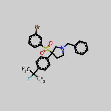 O=S(=O)(c1cccc(Br)c1)C1(c2ccc(C(F)(C(F)(F)F)C(F)(F)F)cc2)CCN(Cc2ccccc2)C1